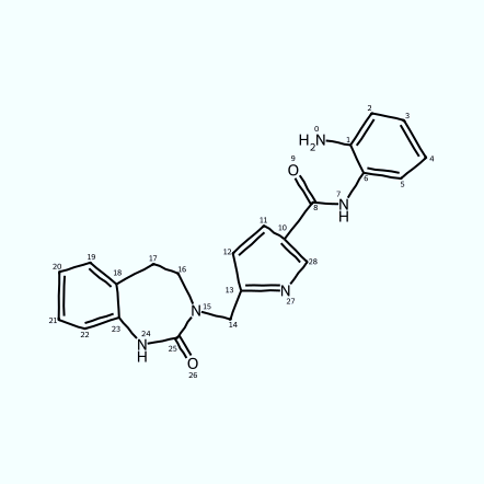 Nc1ccccc1NC(=O)c1ccc(CN2CCc3ccccc3NC2=O)nc1